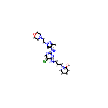 Cc1nn(CCN2CCOCC2)cc1Nc1ncc(Br)c(NCCCN2CCCCC2=O)n1